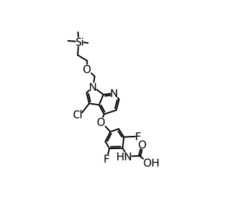 C[Si](C)(C)CCOCn1cc(Cl)c2c(Oc3cc(F)c(NC(=O)O)c(F)c3)ccnc21